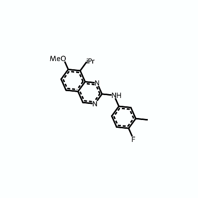 COc1ccc2cnc(Nc3ccc(F)c(C)c3)nc2c1C(C)C